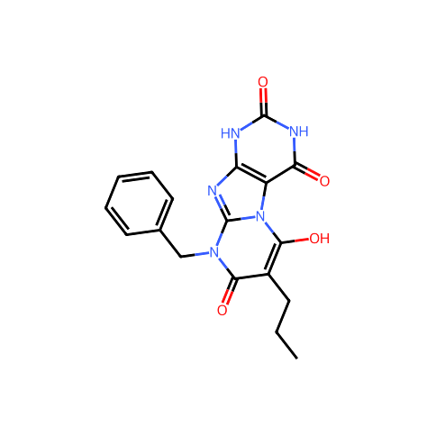 CCCc1c(O)n2c3c(=O)[nH]c(=O)[nH]c3nc2n(Cc2ccccc2)c1=O